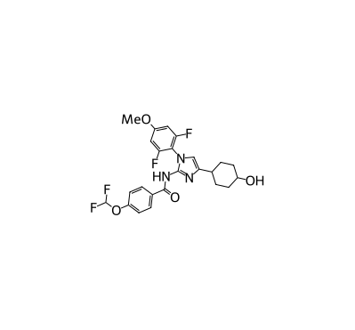 COc1cc(F)c(-n2cc(C3CCC(O)CC3)nc2NC(=O)c2ccc(OC(F)F)cc2)c(F)c1